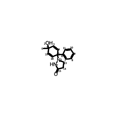 CC1(O)C=CC(c2ccccc2)(N2CCC(=O)N2)C=C1